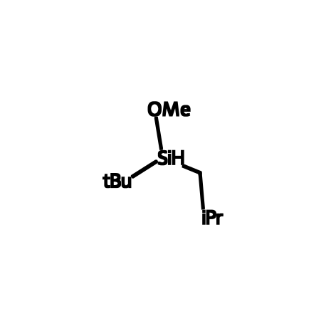 CO[SiH](CC(C)C)C(C)(C)C